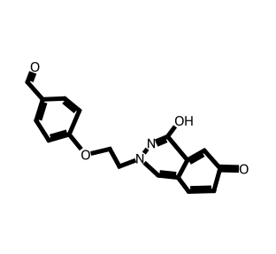 O=Cc1ccc(OCCn2cc3ccc(=O)cc-3c(O)n2)cc1